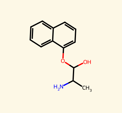 CC(N)C(O)Oc1cccc2ccccc12